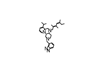 CC/C(C)=C\C(C)=C(/C)CN(Cc1ncccc1C(C)C)C1CCN(Cc2cccc3c2N=N3)CC1